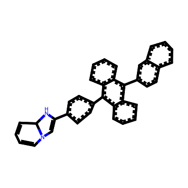 C1=CC2NC(c3ccc(-c4c5ccccc5c(-c5ccc6ccccc6c5)c5ccccc45)cc3)=CN2C=C1